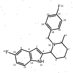 CC1CCCC(c2cc3cc(F)ccc3[nH]2)N1Cc1ccc(F)cc1